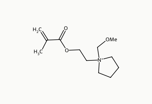 C=C(C)C(=O)OCC[N+]1(COC)CCCC1